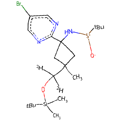 [2H]C([2H])(O[Si](C)(C)C(C)(C)C)C1(C)CC(N[S+]([O-])C(C)(C)C)(c2ncc(Br)cn2)C1